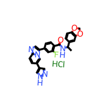 CC(NC(=O)c1ccc(-c2cnc3ccc(-c4cn[nH]c4)cn23)cc1F)c1ccc2c(c1)OCO2.Cl